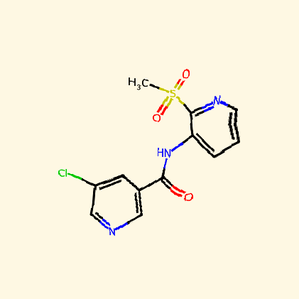 CS(=O)(=O)c1ncccc1NC(=O)c1cncc(Cl)c1